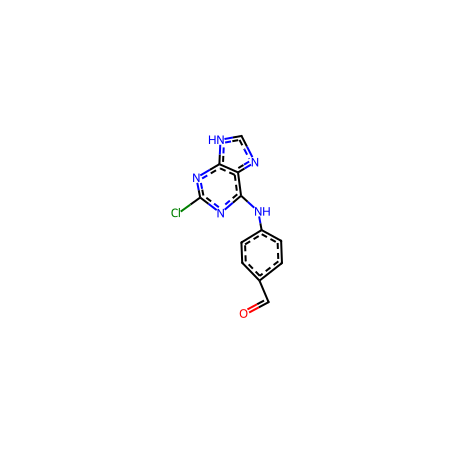 O=Cc1ccc(Nc2nc(Cl)nc3[nH]cnc23)cc1